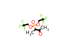 CC(=O)C(C)P(=O)(OCC(F)(F)F)OCC(F)(F)F